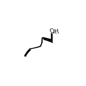 C=CCC=CO